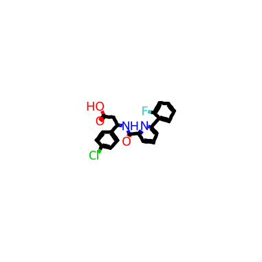 O=C(O)CC(NC(=O)c1cccc(-c2ccccc2F)n1)c1ccc(Cl)cc1